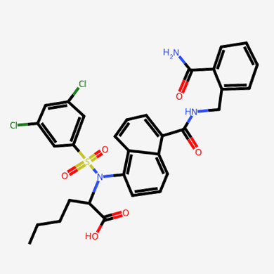 CCCCC(C(=O)O)N(c1cccc2c(C(=O)NCc3ccccc3C(N)=O)cccc12)S(=O)(=O)c1cc(Cl)cc(Cl)c1